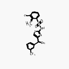 Cc1c(Cl)cccc1S(=O)(=O)Nc1nc(C(O)c2cccc(C(F)(F)F)c2)cs1